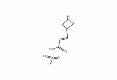 CS(=O)(=O)NC(=O)/C=C/C1CNC1